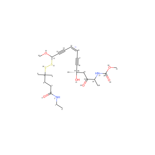 CCNC(=O)CCC(C)(C)SSC(C#C/C=C\C#C[C@](C)(O)CC(=O)C(C)NC(=O)OC)OC